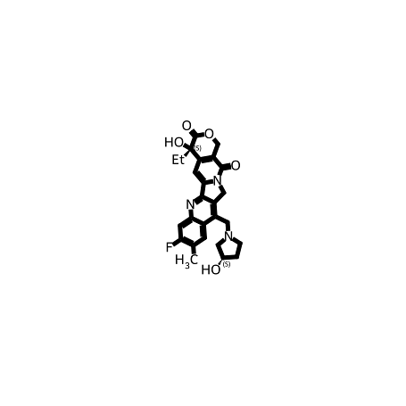 CC[C@@]1(O)C(=O)OCc2c1cc1n(c2=O)Cc2c-1nc1cc(F)c(C)cc1c2CN1CC[C@H](O)C1